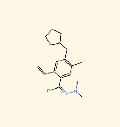 C=Cc1cc(CC2CCCC2)c(C)cc1/C(Cl)=N\N(C)C